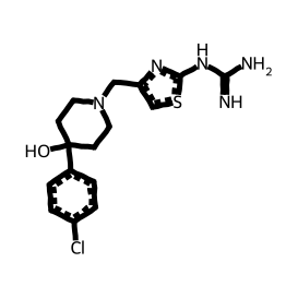 N=C(N)Nc1nc(CN2CCC(O)(c3ccc(Cl)cc3)CC2)cs1